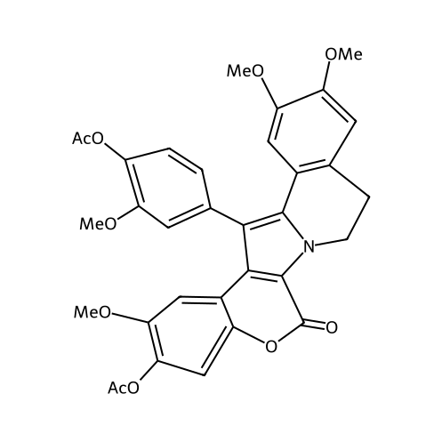 COc1cc2c(cc1OC)-c1c(-c3ccc(OC(C)=O)c(OC)c3)c3c4cc(OC)c(OC(C)=O)cc4oc(=O)c3n1CC2